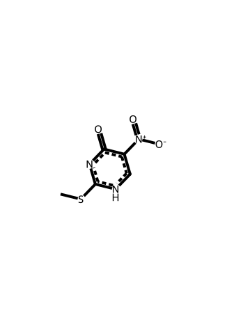 CSc1nc(=O)c([N+](=O)[O-])c[nH]1